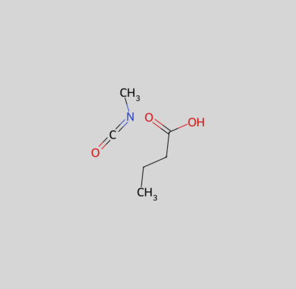 CCCC(=O)O.CN=C=O